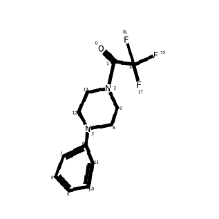 O=C(N1CCN(c2ccccc2)CC1)C(F)(F)F